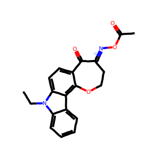 CCn1c2ccccc2c2c3c(ccc21)C(=O)/C(=N/OC(C)=O)CCO3